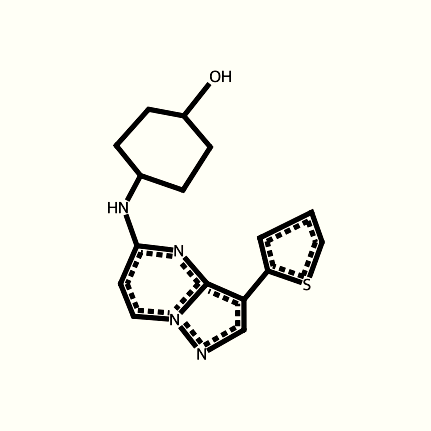 OC1CCC(Nc2ccn3ncc(-c4cccs4)c3n2)CC1